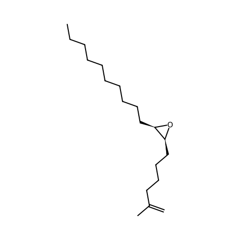 C=C(C)CCCC[C@@H]1O[C@@H]1CCCCCCCCCC